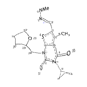 CN/N=C/c1sc2c(c1C)c(=O)n(C1CC1)c(=O)n2CC1CCCO1